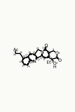 CC[C@@]1(O)C(=O)OCc2c1cc1n(c2=O)Cc2cc3c(CCC(C)=O)cccc3nc2-1